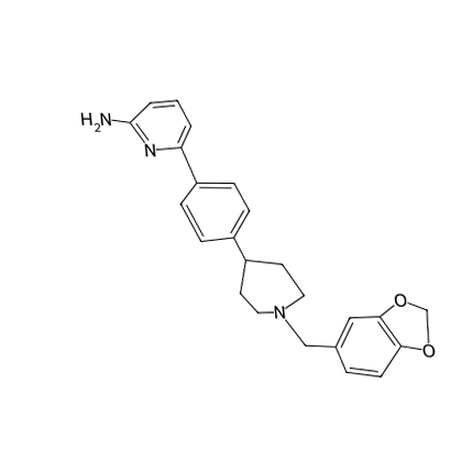 Nc1cccc(-c2ccc(C3CCN(Cc4ccc5c(c4)OCO5)CC3)cc2)n1